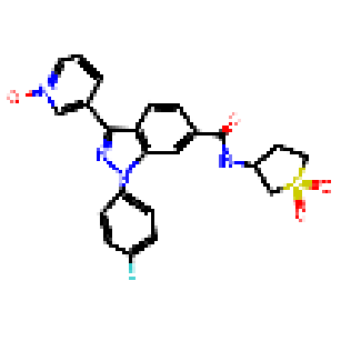 O=C(NC1CCS(=O)(=O)C1)c1ccc2c(-c3ccc[n+]([O-])c3)nn(-c3ccc(F)cc3)c2c1